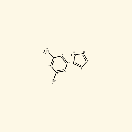 O=[N+]([O-])c1cccc(Br)c1.c1cc[nH]c1